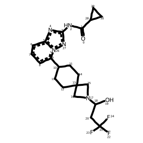 O=C(Nc1nc2cccc(C3CCC4(CC3)CN(C(O)CC(F)(F)F)C4)n2n1)C1CC1